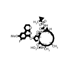 COc1cc2c3c(nc(O[C@@H]4C[C@H]5C(=O)N[C@]6(C(=O)NS(=O)(=O)C7(C)CC7)C[C@H]6C=CCC[C@@H](C)C[C@@H](C)[C@H](NC(=O)O)C(=O)N5C4)c2cc1F)OCCC3